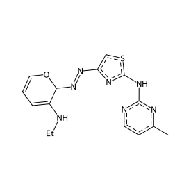 CCNC1=CC=COC1N=Nc1csc(Nc2nccc(C)n2)n1